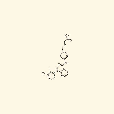 Cc1c(Cl)cccc1Nc1ccccc1C(=O)Nc1ccc(COCC(=O)O)cc1